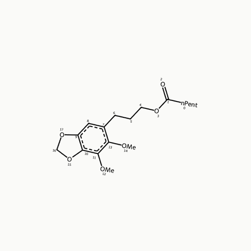 CCCCCC(=O)OCCCc1cc2c(c(OC)c1OC)OCO2